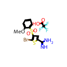 COc1ccccc1S(=O)(=O)c1cc(C(=N)N)sc1Br.O=C(O)C(F)(F)F